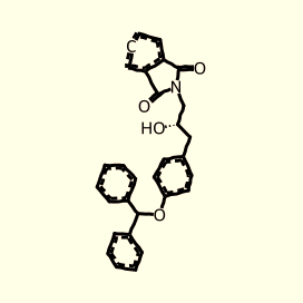 O=C1c2ccccc2C(=O)N1C[C@@H](O)Cc1ccc(OC(c2ccccc2)c2ccccc2)cc1